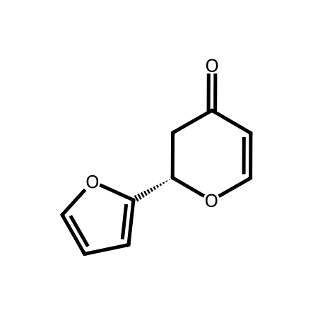 O=C1C=CO[C@H](c2ccco2)C1